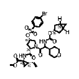 C=C[C@@H]1C[C@]1(NC(=O)[C@@H]1C[C@H](OS(=O)(=O)c2ccc(Br)cc2)CN1C(=O)C(NC(=O)O[C@@H]1C[C@@H]2C[C@@H]2C1)C1CCOCC1)C(=O)OC